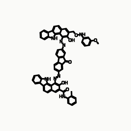 COc1cccc(NOCc2cc3ccc4c5ccccc5[nH]c4c3c(N=Nc3ccc4c(c3)C(=O)c3cc(N=Nc5c(O)c(C(=O)Nc6ccccc6C)cc6ccc7c8ccccc8[nH]c7c56)ccc3-4)c2O)c1